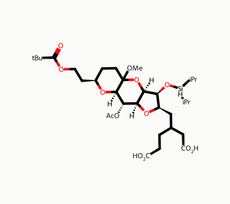 COC12CC[C@H](CCOC(=O)C(C)(C)C)O[C@@H]1[C@@H](OC(C)=O)[C@@H]1O[C@H](CC(CCC(=O)O)CC(=O)O)[C@H](O[SiH](C(C)C)C(C)C)[C@@H]1O2